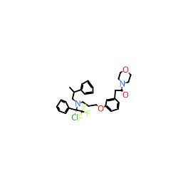 CC(CN(CCCOc1cccc(CC(=O)N2CCOCC2)c1)[C@](Cl)(c1ccccc1)C(F)(F)F)c1ccccc1